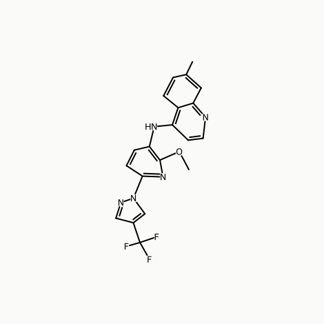 COc1nc(-n2cc(C(F)(F)F)cn2)ccc1Nc1ccnc2cc(C)ccc12